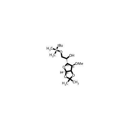 CO[C@H]1C2OC(C)(C)O[C@H]2O[C@@H]1C(O)CO[Si](C)(C)C(C)(C)C